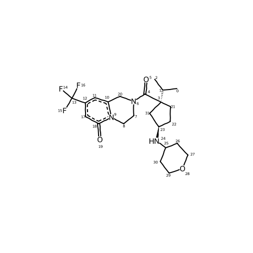 CC(C)[C@]1(C(=O)N2CCn3c(cc(C(F)(F)F)cc3=O)C2)CC[C@@H](NC2CCOCC2)C1